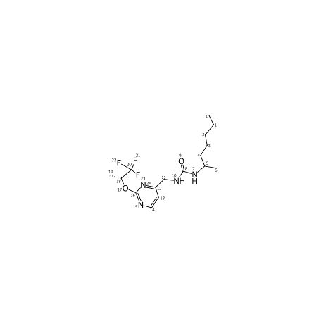 CCCCCC(C)NC(=O)NCc1ccnc(O[C@H](C)C(F)(F)F)n1